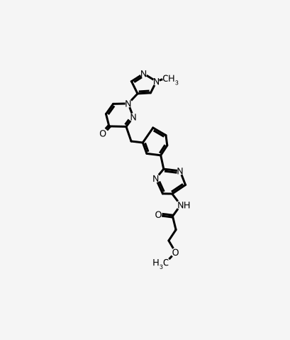 COCCC(=O)Nc1cnc(-c2cccc(Cc3nn(-c4cnn(C)c4)ccc3=O)c2)nc1